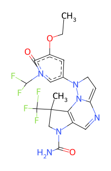 CCOc1cc(N2CC=C3N=CC4=C(N32)C(C)(C(F)(F)F)CN4C(N)=O)cn(C(F)F)c1=O